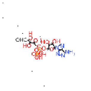 Nc1ncnc2c1ncn2[C@@H]1O[C@H](COP(=O)(OC[C@@H](O)[C@@H](O)[C@@H](O)C=O)OP(=O)(O)O)[C@@H](O)[C@H]1O